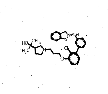 CC(C)(O)C1CCN(CCCOc2cccc(-c3cccc(NN4Cc5ccccc5S4)c3)c2Cl)C1